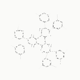 Cc1cc(C)cc(-c2nc3c4nc(-c5cc(C)cc(C)c5)c(-c5cc(C)cc(C)c5)nc4c4nc(-c5cc(C)cc(C)c5)c(-c5cc(C)cc(C)c5)nc4c3nc2-c2cc(C)cc(C)c2)c1